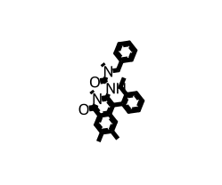 CCc1ccccc1-c1c(NC(=O)N(C)Cc2ccccc2)n(C)c(=O)c2cc(C)c(C)cc12